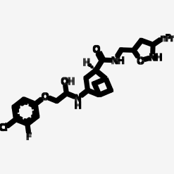 CCCC1CC(CNC(=O)[C@@H]2CC(NC(O)COc3ccc(Cl)c(F)c3)C3CC2C3)ON1